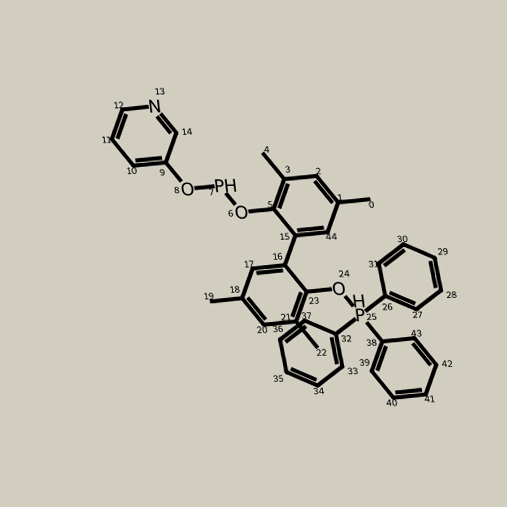 Cc1cc(C)c(OPOc2cccnc2)c(-c2cc(C)cc(C)c2O[PH](c2ccccc2)(c2ccccc2)c2ccccc2)c1